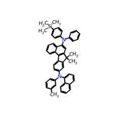 Cc1cccc(N(c2ccc3c(c2)C(C)(C)c2cc(N(c4ccccc4)c4ccc([Si](C)(C)C)cc4)c4ccccc4c2-3)c2cccc3ccccc23)c1